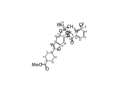 COC(=O)C1CCC(c2nc3cc(O[Si](C)(C)C(C)(C)C)c(NC(=O)c4cccc(C(F)(F)F)n4)cc3o2)CC1